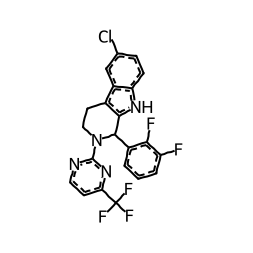 Fc1cccc(C2c3[nH]c4ccc(Cl)cc4c3CCN2c2nccc(C(F)(F)F)n2)c1F